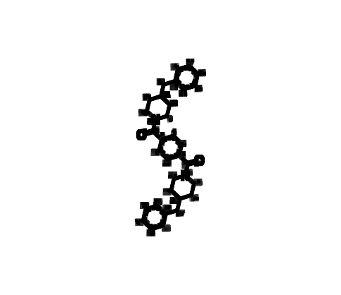 O=C(c1ccc(C(=O)N2CCC(Cc3ccccc3)CC2)cc1)N1CCC(Cc2ccccc2)CC1